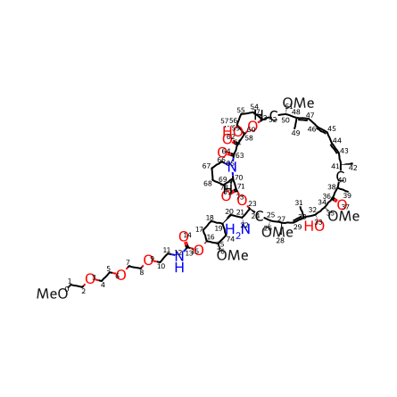 COCCOCCOCCOCCNC(=O)O[C@@H]1CC[C@@H](C[C@@H](N)[C@@H]2C[C@@H](OC)[C@H](C)/C=C(\C)[C@@H](O)[C@@H](OC)C(=O)C(C)C[C@H](C)/C=C/C=C/C=C(\C)[C@@H](OC)C[C@@H]3CC[C@@H](C)[C@@](O)(O3)C(=O)C(=O)N3CCCC[C@H]3C(=O)O2)C[C@H]1OC